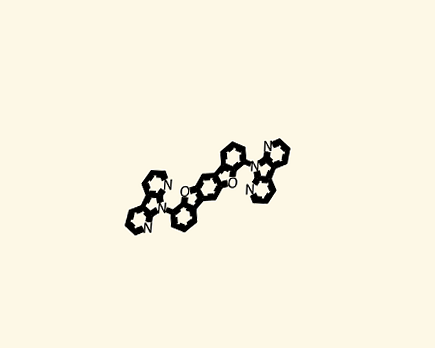 c1cc(-n2c3ncccc3c3cccnc32)c2oc3cc4c(cc3c2c1)oc1c(-n2c3ncccc3c3cccnc32)cccc14